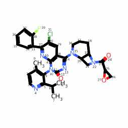 Cc1ccnc(C(C)C)c1-n1c(=O)nc(N2CCCC3C2CN3C(=O)C2CO2)c2cc(Cl)c(-c3ccccc3F)nc21